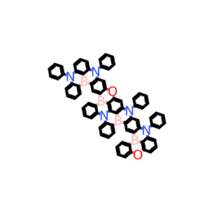 c1ccc(N2c3cc4c(cc3B3c5ccccc5Oc5cccc2c53)B2c3ccccc3N3c5ccccc5B5c6cc7c(cc6Oc6cc(c2c3c65)N4c2ccccc2)N(c2ccccc2)c2cccc3c2B7c2ccccc2N3c2ccccc2)cc1